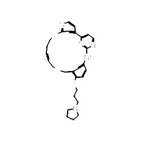 C1=C\COCc2cc(ccc2OCCCN2CCCC2)Nc2nccc(n2)-c2ccnc(c2)OCC/1